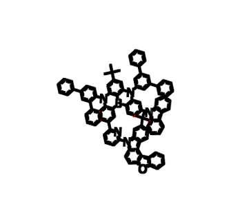 CC(C)(C)c1cc2c3c(c1)N(c1ccc(-c4ccccc4)cc1-c1ccccc1)c1ccc(-c4cccc(-n5c6cc(C(C)(C)C)ccc6c6c7c(ccc65)oc5ccccc57)n4)cc1B3c1ccc(-n3c4ccccc4c4ccccc43)cc1N2c1cc(-c2ccccc2)cc(-c2ccccc2)c1